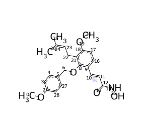 COc1ccc(COc2c(/C=C/C(=O)NO)ccc(OC)c2CC=C(C)C)cc1